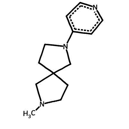 CN1CCC2(CCN(c3ccncc3)C2)C1